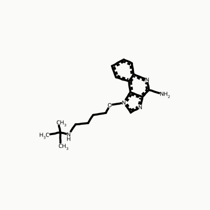 CC(C)(C)NCCCCOn1cnc2c(N)nc3ccccc3c21